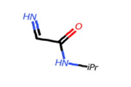 CC(C)NC(=O)C=N